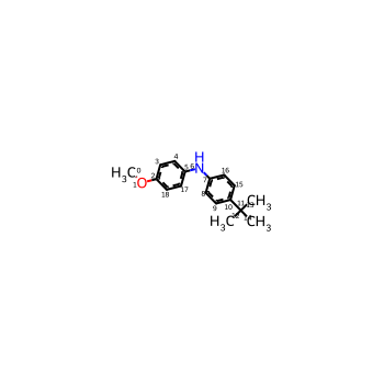 COc1ccc(Nc2ccc(C(C)(C)C)cc2)cc1